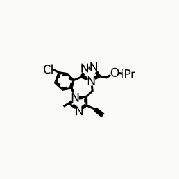 C#Cc1nc(C)n2c1Cn1c(COC(C)C)nnc1-c1cc(Cl)ccc1-2